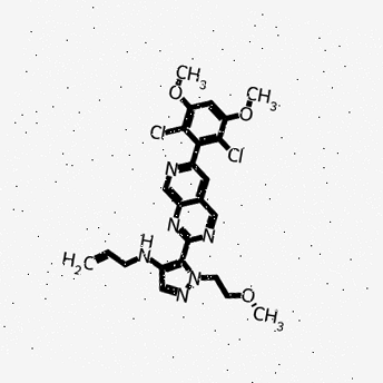 C=CCNc1cnn(CCOC)c1-c1ncc2cc(-c3c(Cl)c(OC)cc(OC)c3Cl)ncc2n1